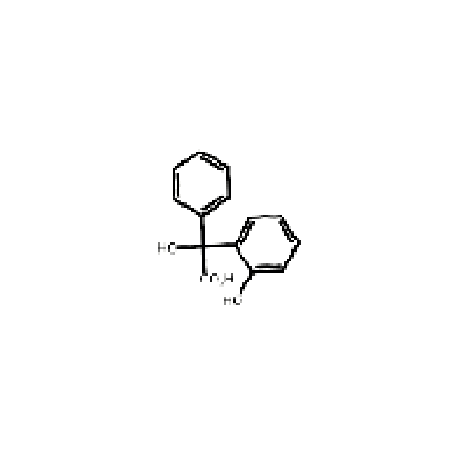 O=C(O)C(O)(c1ccccc1)c1ccccc1O